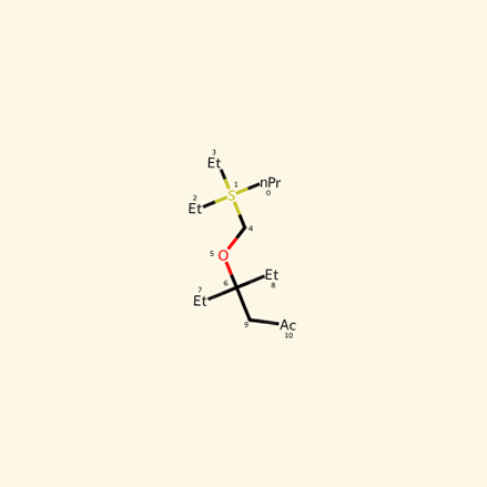 CCCS(CC)(CC)COC(CC)(CC)CC(C)=O